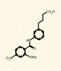 COc1cc([N+](=O)[O-])ccc1C(=O)Nc1cccc(CCCC(=O)O)c1